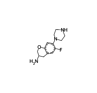 NC1COc2cc(N3CCNCC3)c(F)cc2C1